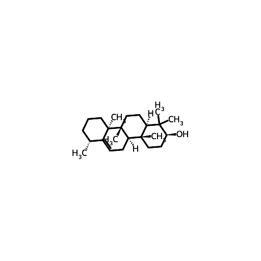 C[C@@H]1CCC[C@]2(C)C1=CC[C@@H]1[C@@]3(C)CC[C@H](O)C(C)(C)[C@@H]3CC[C@]12C